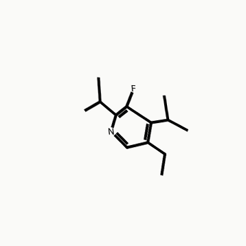 CCc1cnc(C(C)C)c(F)c1C(C)C